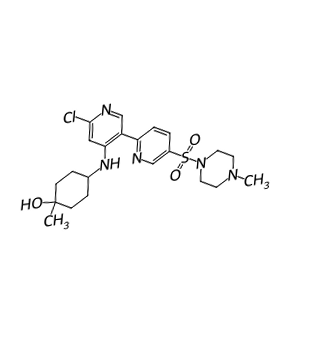 CN1CCN(S(=O)(=O)c2ccc(-c3cnc(Cl)cc3NC3CCC(C)(O)CC3)nc2)CC1